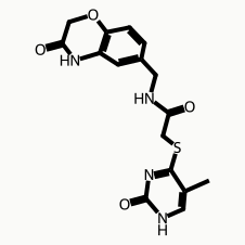 Cc1c[nH]c(=O)nc1SCC(=O)NCc1ccc2c(c1)NC(=O)CO2